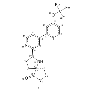 CN1CC[C@@]2(CC[C@@H](c3cc(-c4cccc(OC(F)(F)F)c4)ccn3)N2)C1=O